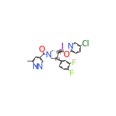 Cc1cc(C(=O)N2C[C@H]([C@H](I)Oc3ccc(Cl)cn3)[C@@H](c3ccc(F)c(F)c3)C2)cnn1